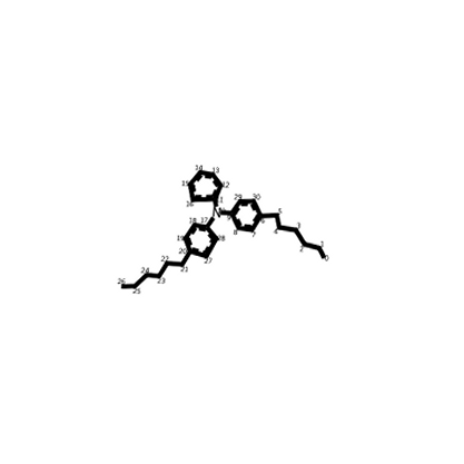 CCCCCCc1ccc(N(c2[c]cccc2)c2ccc(CCCCCC)cc2)cc1